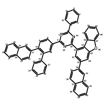 c1ccc(-c2nc(-c3ccc(-c4ccc5ccccc5c4)c(-c4ccccc4)c3)nc(-c3cc(-c4ccc5ccccc5c4)cc4oc5ccccc5c34)n2)cc1